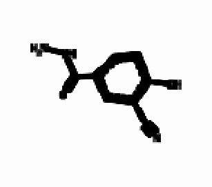 N#Cc1cc(C(=O)NN)ccc1O